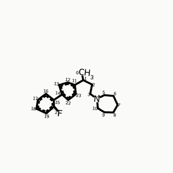 CC(CCN1CCCCCC1)c1ccc(-c2ccccc2F)cc1